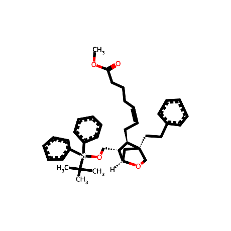 COC(=O)CCC/C=C\C[C@@H]1[C@@H](CO[Si](c2ccccc2)(c2ccccc2)C(C)(C)C)[C@H]2C[C@]1(CCc1ccccc1)CO2